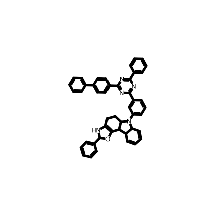 C1=CC2C3C4=C(CCC3N(c3cccc(-c5nc(-c6ccccc6)nc(-c6ccc(-c7ccccc7)cc6)n5)c3)C2C=C1)NC(c1ccccc1)O4